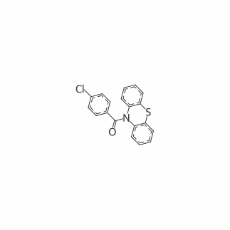 O=C(c1ccc(Cl)cc1)N1c2ccccc2Sc2ccccc21